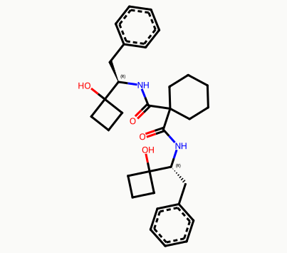 O=C(N[C@H](Cc1ccccc1)C1(O)CCC1)C1(C(=O)N[C@H](Cc2ccccc2)C2(O)CCC2)CCCCC1